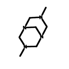 CN1CN2CN(C)CN(C1)C2